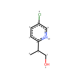 CC(CO)c1ccc(Cl)cn1